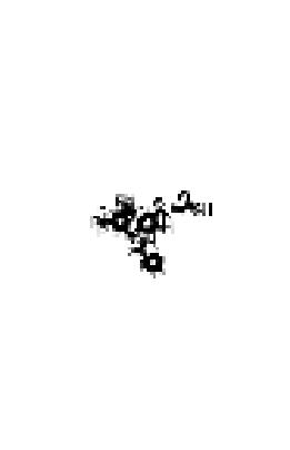 CC(c1ccccc1)c1nc2cc(C(=O)NCCC(=O)O)ccc2n1Cc1cc(C(F)(F)F)cc(C(F)(F)F)c1